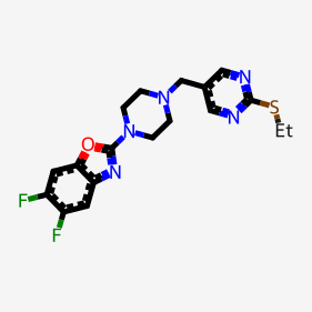 CCSc1ncc(CN2CCN(c3nc4cc(F)c(F)cc4o3)CC2)cn1